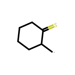 [CH2]C1CCCCC1=S